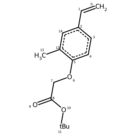 C=Cc1ccc(OCC(=O)OC(C)(C)C)c(C)c1